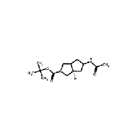 CC(=O)N[C@@H]1CC2CN(C(=O)OC(C)(C)C)C[C@@H]2C1